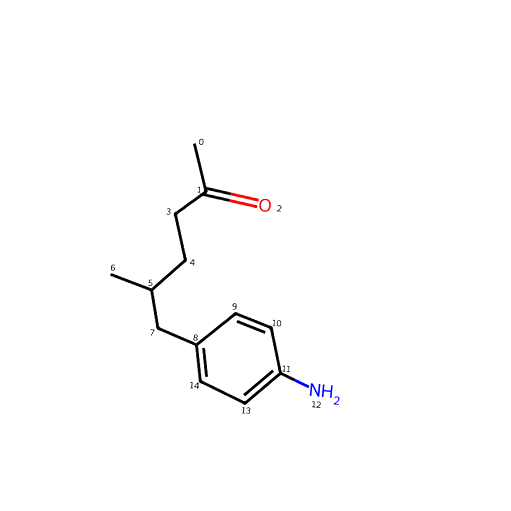 CC(=O)CCC(C)Cc1ccc(N)cc1